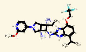 CC[C@]1(N)C2CN(c3ccnc(OC)c3)C[C@@]2(N)[C@@H]1NC1=NC2C(OCC(F)(F)F)=CC=C(C(C)C)C2=N1